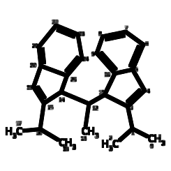 CC(C)C1=Cc2ccccc2C1C(C)C1C(C(C)C)=Cc2ccccc21